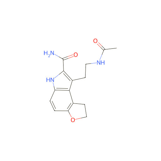 CC(=O)NCCc1c(C(N)=O)[nH]c2ccc3c(c12)CCO3